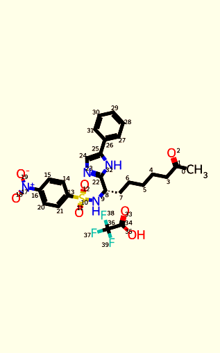 CC(=O)CCCCC[C@H](NS(=O)(=O)c1ccc([N+](=O)[O-])cc1)c1ncc(-c2ccccc2)[nH]1.O=C(O)C(F)(F)F